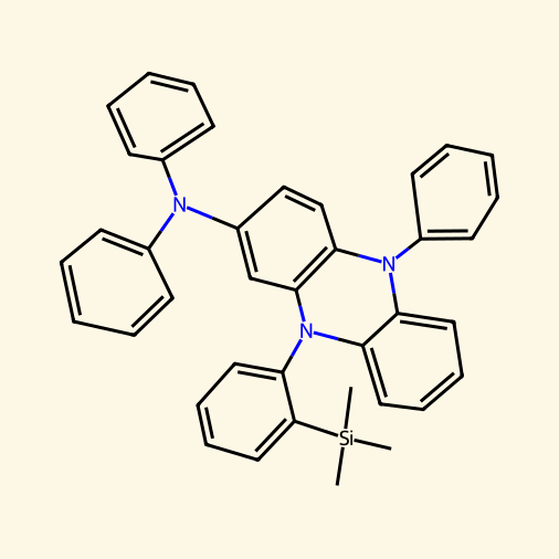 C[Si](C)(C)c1ccccc1N1c2ccccc2N(c2ccccc2)c2ccc(N(c3ccccc3)c3ccccc3)cc21